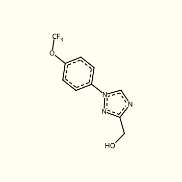 OCc1ncn(-c2ccc(OC(F)(F)F)cc2)n1